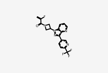 C=C(F)C(=O)N1CC(n2nc(-c3ccc(C(F)(F)F)nc3)c3ncccc32)C1